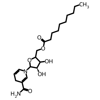 CCCCCCCCCC(=O)OCC1OC(N2C=CCC(C(N)=O)=C2)[C@H](O)C1O